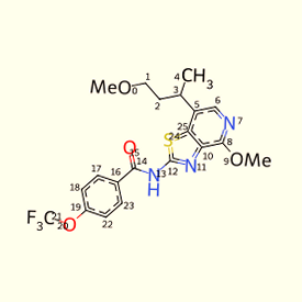 COCCC(C)c1cnc(OC)c2nc(NC(=O)c3ccc(OC(F)(F)F)cc3)sc12